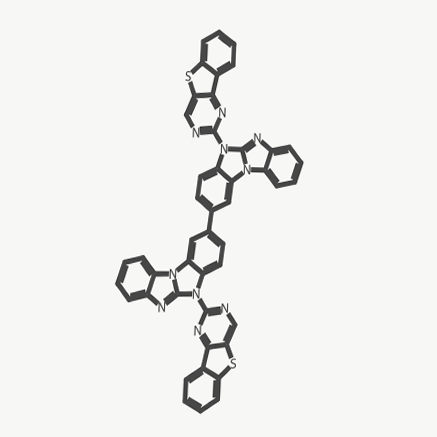 c1ccc2c(c1)nc1n(-c3ncc4sc5ccccc5c4n3)c3ccc(-c4ccc5c(c4)n4c6ccccc6nc4n5-c4ncc5sc6ccccc6c5n4)cc3n21